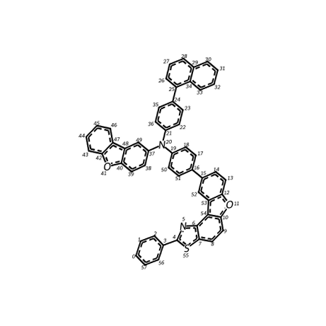 c1ccc(-c2nc3c(ccc4oc5ccc(-c6ccc(N(c7ccc(-c8cccc9ccccc89)cc7)c7ccc8oc9ccccc9c8c7)cc6)cc5c43)s2)cc1